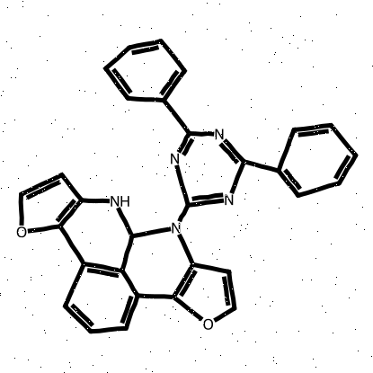 c1ccc(-c2nc(-c3ccccc3)nc(N3c4ccoc4-c4cccc5c4C3Nc3ccoc3-5)n2)cc1